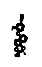 COC(=O)[C@@H](C)Oc1cccc2c(Oc3ccc(C#N)cc3F)cccc12